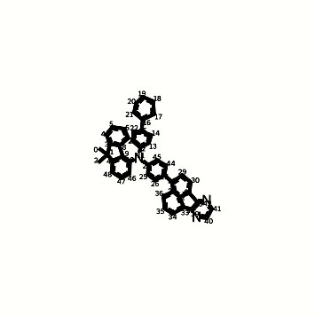 CC1(C)c2ccccc2-c2c(N(c3ccc(-c4ccccc4)cc3)c3ccc(-c4ccc5c6c(cccc46)-c4nccnc4-5)cc3)cccc21